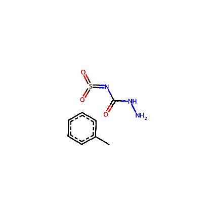 Cc1ccccc1.NNC(=O)N=S(=O)=O